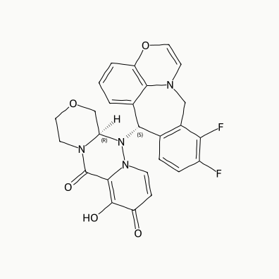 O=C1c2c(O)c(=O)ccn2N([C@H]2c3ccc(F)c(F)c3CN3C=COc4cccc2c43)[C@@H]2COCCN12